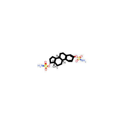 C[C@]12CC[C@@H]3c4ccc(OS(N)(=O)=O)cc4CC[C@H]3[C@@H]1CC[C@H]2OS(N)(=O)=O